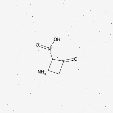 N.O=C1CCC1[N+](=O)O